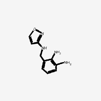 Nc1cccc(CNc2ccon2)c1N